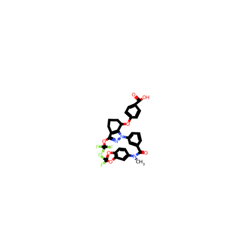 CN(C(=O)c1cccc(-n2nc(OC(F)(F)F)c3c2C(Oc2ccc(C(=O)O)cc2)CCC3)c1)c1ccc2c(c1)OC(F)(F)O2